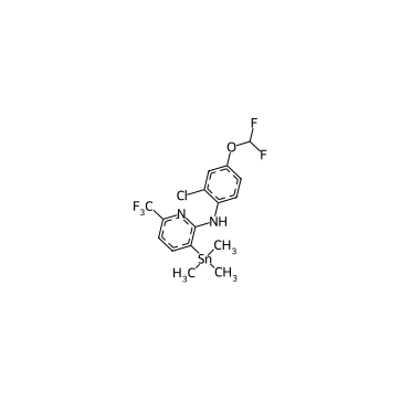 [CH3][Sn]([CH3])([CH3])[c]1ccc(C(F)(F)F)nc1Nc1ccc(OC(F)F)cc1Cl